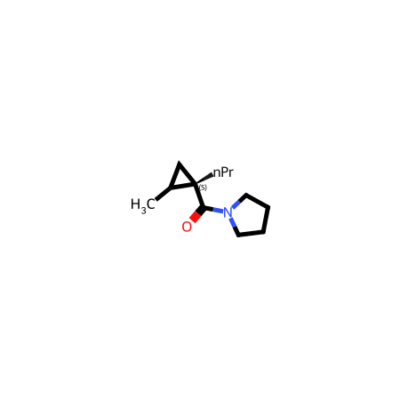 CCC[C@]1(C(=O)N2CCCC2)CC1C